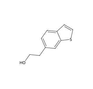 OCCc1ccc2ccsc2c1